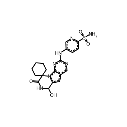 NS(=O)(=O)c1ccc(Nc2ncc3cc4n(c3n2)C2(CCCCC2)C(=O)NC4O)cn1